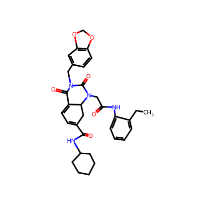 CCc1ccccc1NC(=O)CN1C(=O)N(Cc2ccc3c(c2)OCO3)C(=O)C2=CC=C(C(=O)NC3CCCCC3)CC21